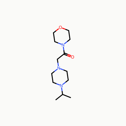 CC(C)N1CCN(CC(=O)N2CCOCC2)CC1